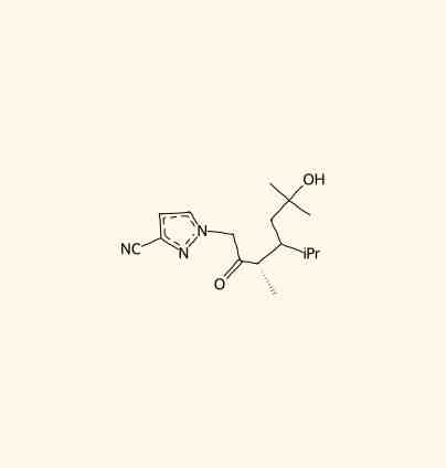 CC(C)C(CC(C)(C)O)[C@H](C)C(=O)Cn1ccc(C#N)n1